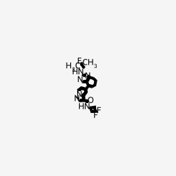 CC(C)(F)CNc1ncc2c(n1)CCCC=C2c1ccn2ncc(C(=O)NC3CC(F)(F)C3)c2c1